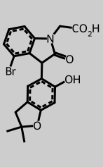 CC1(C)Cc2cc(C3C(=O)N(CC(=O)O)c4cccc(Br)c43)c(O)cc2O1